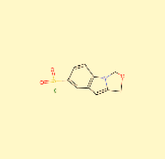 O=S(=O)(Cl)c1ccc2c(c1)cc1n2COC1